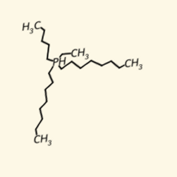 CCCCCCCC[PH](CC)(CCCCC)CCCCCCCC